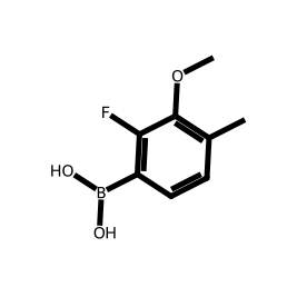 COc1c(C)ccc(B(O)O)c1F